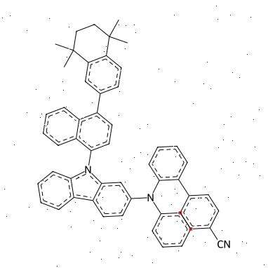 CC1(C)CCC(C)(C)c2cc(-c3ccc(-n4c5ccccc5c5ccc(N(c6ccccc6)c6ccccc6-c6ccc(C#N)cc6)cc54)c4ccccc34)ccc21